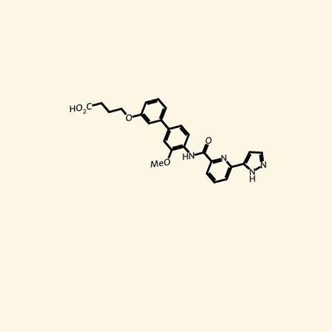 COc1cc(-c2cccc(OCCCC(=O)O)c2)ccc1NC(=O)c1cccc(-c2ccn[nH]2)n1